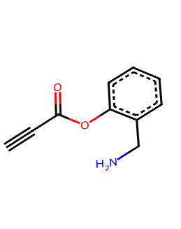 C#CC(=O)Oc1ccccc1CN